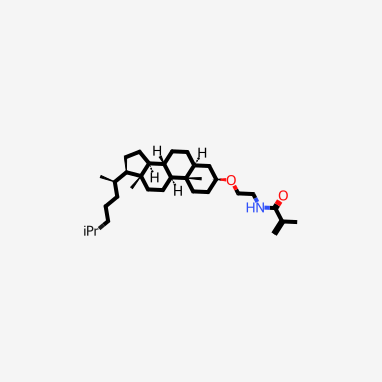 C=C(C)C(=O)NCCO[C@H]1CC[C@@]2(C)[C@@H](CC[C@@H]3[C@@H]2CC[C@]2(C)[C@@H]([C@H](C)CCCC(C)C)CC[C@@H]32)C1